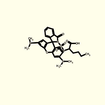 CCCCC(NS(=O)(=O)N1C(=O)c2ccccc2C12c1ccc(N(C)C)cc1Oc1cc(N(C)C)ccc12)C(=O)O